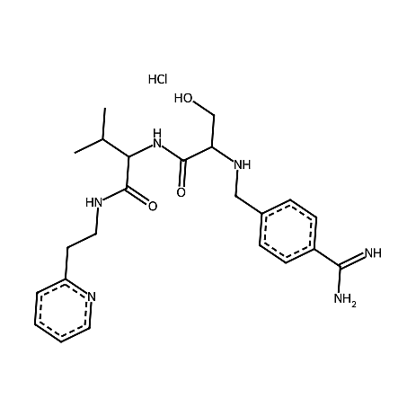 CC(C)C(NC(=O)C(CO)NCc1ccc(C(=N)N)cc1)C(=O)NCCc1ccccn1.Cl